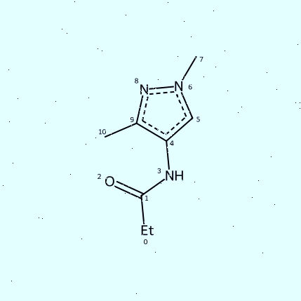 CCC(=O)Nc1cn(C)nc1C